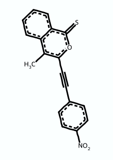 Cc1c(C#Cc2ccc([N+](=O)[O-])cc2)oc(=S)c2ccccc12